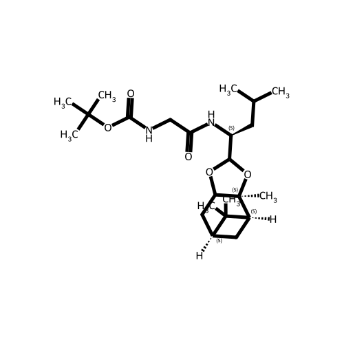 CC(C)C[C@H](NC(=O)CNC(=O)OC(C)(C)C)C1OC2C[C@@H]3C[C@@H](C3(C)C)[C@]2(C)O1